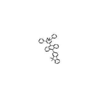 CC1(C)c2ccccc2-c2ccc(-c3c4ccccc4c(-c4cc(-c5ccccc5)nc(-c5ccccc5)c4)c4ccccc34)cc21